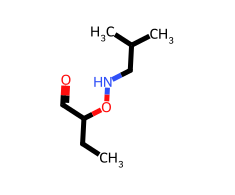 CCC(C=O)ONCC(C)C